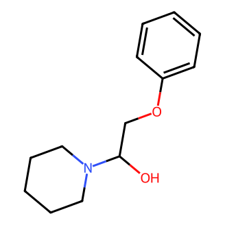 OC(COc1ccccc1)N1CCCCC1